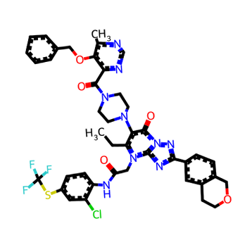 CCc1c(N2CCN(C(=O)c3ncnc(C)c3OCc3ccccc3)CC2)c(=O)n2nc(-c3ccc4c(c3)CCOC4)nc2n1CC(=O)Nc1ccc(SC(F)(F)F)cc1Cl